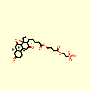 C[C@H](CCC(=O)OCCCC(=O)OCCS(=O)(=O)O)[C@H]1CC[C@H]2[C@@H]3C(=O)C[C@@H]4CC(=O)CC[C@]4(C)[C@H]3CC(=O)[C@]12C